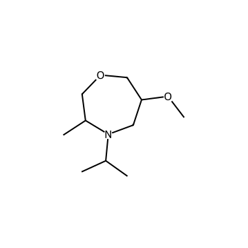 COC1COCC(C)N(C(C)C)C1